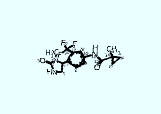 CN1C(=O)NCC1c1ccc(NC(=O)C2(C)CC2)cc1C(F)(F)F